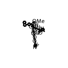 COC(=O)C[C@@H](NC(=O)[C@H](COCCOCCOCCOCCN=[N+]=[N-])NC(=O)CCCN(C(=O)OC(C)(C)C)c1cc(C)ccn1)c1ccc(-c2cccc3ccccc23)cc1